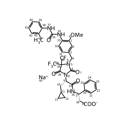 COc1cc(CN2C(=O)N([C@@H](CC3CC3)C(=O)N[C@@H](CC(=O)[O-])c3ccccc3)C(=O)C2(C(F)(F)F)C(F)(F)F)ccc1NC(=O)Nc1ccccc1C.[Na+]